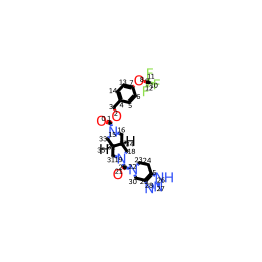 O=C(OCc1ccc(OC(F)(F)F)cc1)N1C[C@@H]2CN(C(=O)N3CCc4[nH]nnc4C3)C[C@H]2C1